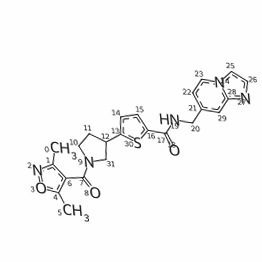 Cc1noc(C)c1C(=O)N1CCC(c2ccc(C(=O)NCc3ccn4ccnc4c3)s2)C1